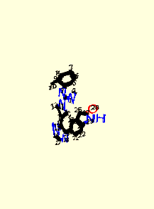 C=N/C(=N\c1ccccc1C)N1CC(c2nccnc2-c2ccc3c(c2)CC(=O)N3)C1